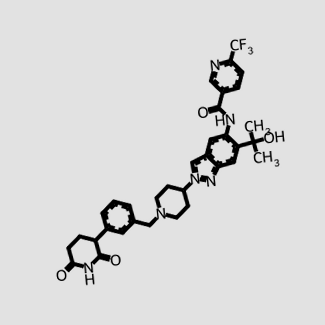 CC(C)(O)c1cc2nn(C3CCN(Cc4cccc(C5CCC(=O)NC5=O)c4)CC3)cc2cc1NC(=O)c1ccc(C(F)(F)F)nc1